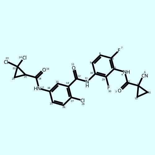 N#CC1(C(=O)Nc2c(F)ccc(NC(=O)c3cc(NC(=O)C4CC4(Cl)Cl)ccc3Cl)c2F)CC1